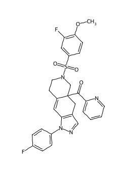 COc1ccc(S(=O)(=O)N2CCC3=Cc4c(cnn4-c4ccc(F)cc4)CC3(C(=O)c3ccccn3)C2)cc1F